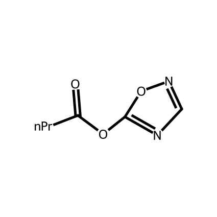 CCCC(=O)Oc1ncno1